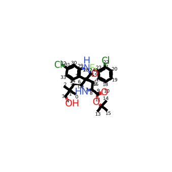 CC(C)(CO)C[C@@H]1NC(C(=O)OC(C)(C)C)[C@@H](c2cccc(Cl)c2F)C12C(=O)Nc1cc(Cl)ccc12